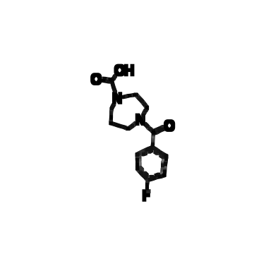 O=C(O)N1CCCN(C(=O)c2ccc(F)cc2)CC1